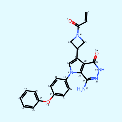 C=CC(=O)N1CC(c2cn(-c3ccc(Oc4ccccc4)cc3)c3c(N)n[nH]c(=O)c23)C1